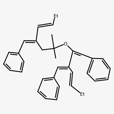 CCC=CC(=Cc1ccccc1)CC(C)(C)OC(=Cc1ccccc1)C(C=CCC)=Cc1ccccc1